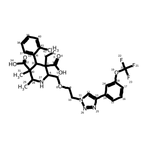 CCC1(C(=O)O)C(COCCn2cc(-c3cccc(OC(F)(F)F)c3)nn2)NC(C)C(C)(C(=O)O)C1c1ccccc1Cl